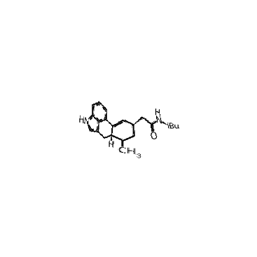 CC[C@H](C)NC(=O)C[C@@H]1C=C2c3cccc4[nH]cc(c34)C[C@H]2C(C)C1